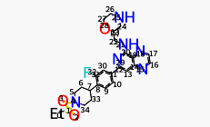 CCS(=O)(=O)N1CCC(c2ccc(-c3cc4nccnc4c(NC[C@@H]4CNCCO4)n3)cc2F)CC1